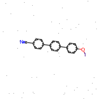 N#Cc1ccc(-c2ccc(-c3ccc(OI)cc3)cc2)cc1